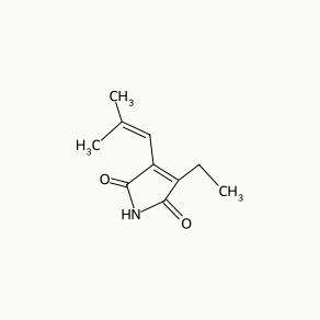 CCC1=C(C=C(C)C)C(=O)NC1=O